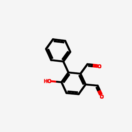 O=Cc1ccc(O)c(-c2ccccc2)c1C=O